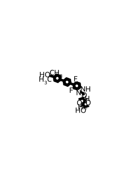 CC(C)(O)c1ccc(-c2ccc(-c3c(F)cc4[nH]c(O[C@H]5CO[C@@H]6[C@H]5OC[C@H]6O)nc4c3F)cc2)cc1